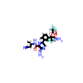 CC[C@@H](CC#N)NC(=O)c1nc(-c2cc(C(OC(=O)C(F)(F)F)(C(N)=O)C(F)(F)F)ccc2C)cnc1N